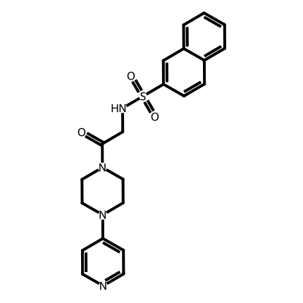 O=C(CNS(=O)(=O)c1ccc2ccccc2c1)N1CCN(c2ccncc2)CC1